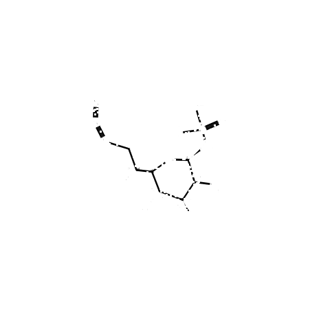 [N-]=[N+]=NC[C@@H](O)C1O[C@@H](OP(=O)(O)O)C(O)[C@@H](O)[C@@H]1O